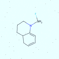 F[SiH2]N1CCCC2CC=CC=C21